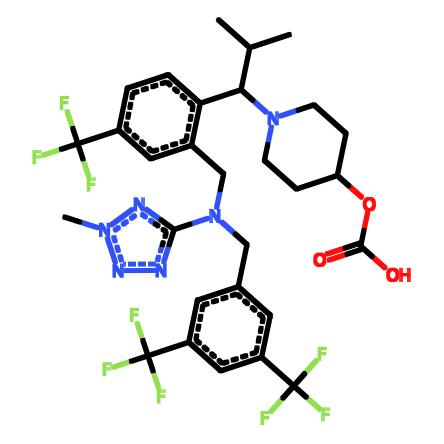 CC(C)C(c1ccc(C(F)(F)F)cc1CN(Cc1cc(C(F)(F)F)cc(C(F)(F)F)c1)c1nnn(C)n1)N1CCC(OC(=O)O)CC1